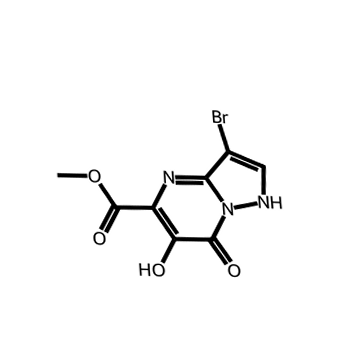 COC(=O)c1nc2c(Br)c[nH]n2c(=O)c1O